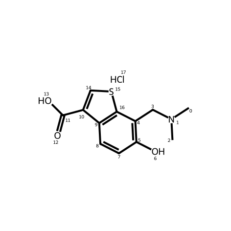 CN(C)Cc1c(O)ccc2c(C(=O)O)csc12.Cl